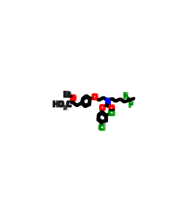 CCOC(Cc1ccc(OCCN(CCCCC(C)(F)F)C(=O)Oc2ccc(Cl)cc2Cl)cc1)C(=O)O